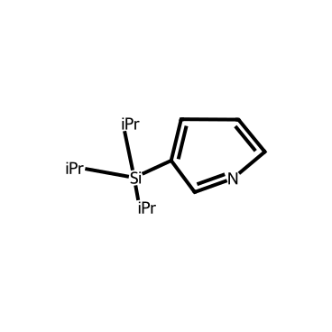 CC(C)[Si](c1cccnc1)(C(C)C)C(C)C